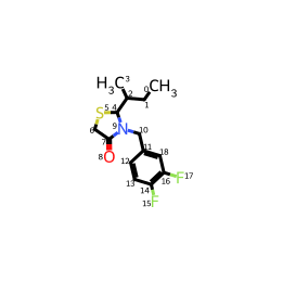 CCC(C)C1SCC(=O)N1Cc1ccc(F)c(F)c1